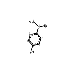 CCN(NC)c1ccc(C#N)cn1